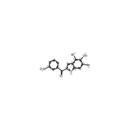 O=C(c1cccc([N+](=O)[O-])c1)c1cc2c(Br)c(O)c(Br)cc2o1